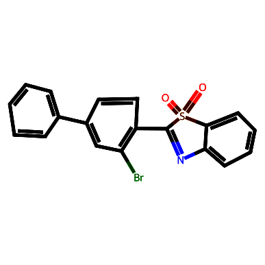 O=S1(=O)C(c2ccc(-c3ccccc3)cc2Br)=Nc2ccccc21